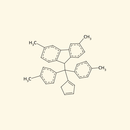 Cc1ccc(C(C2=CC=CC2)(c2ccc(C)cc2)C2c3ccc(C)cc3-c3cc(C)ccc32)cc1